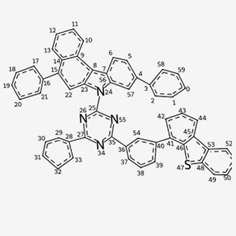 c1ccc(-c2ccc3c4c5ccccc5c(-c5ccccc5)cc4n(-c4nc(-c5ccccc5)nc(-c5cccc(-c6cccc7c6sc6ccccc67)c5)n4)c3c2)cc1